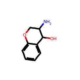 NC1COc2ccccc2C1O